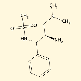 CN(C)C[C@@H](N)[C@@H](NS(C)(=O)=O)c1ccccc1